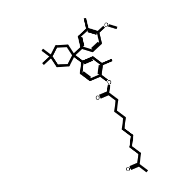 COc1ccc(C2(c3ccc(OC(=O)CCCCCCCC(C)=O)c(C)c3)CCC(C)(C)CC2)cc1C